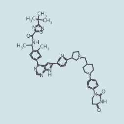 Cc1cc(-c2ncnc3[nH]c(-c4ccc(C5CCN(CC6CCN(c7ccc(N8CCC(=O)NC8=O)cc7)CC6)C5)nc4)cc23)ccc1C(C)NC(=O)c1nc(C(C)(C)C)no1